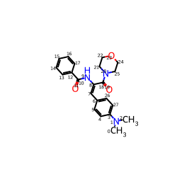 CN(C)c1ccc(/C=C(/NC(=O)c2ccccc2)C(=O)N2CCOCC2)cc1